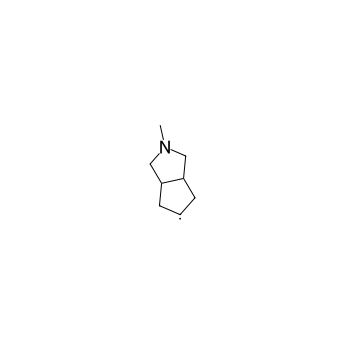 CN1CC2C[CH]CC2C1